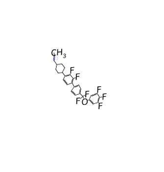 C/C=C/C1CCC(c2ccc(-c3ccc(C(F)(F)Oc4cc(F)c(F)c(F)c4)cc3)c(F)c2F)CC1